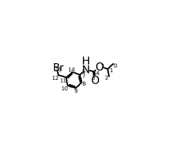 CC(C)OC(=O)Nc1cccc(CBr)c1